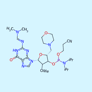 COC1C(OP(OCCC#N)N(C(C)C)C(C)C)[C@@H](CN2CCOCC2)O[C@H]1n1cnc2c(=O)[nH]c(/N=C/N(C)C)nc21